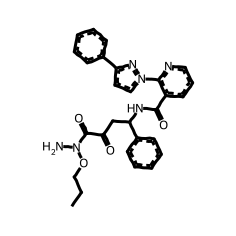 CCCON(N)C(=O)C(=O)CC(NC(=O)c1cccnc1-n1ccc(-c2ccccc2)n1)c1ccccc1